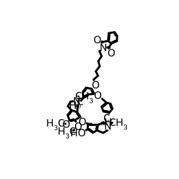 COc1cc2c3c(c1OC)Oc1cc4c(cc1O)CCN(C)[C@H]4Cc1ccc(cc1)Oc1cc(ccc1OCCCCCCCN1C(=O)c4ccccc4C1=O)C[C@H]3N(C)CC2